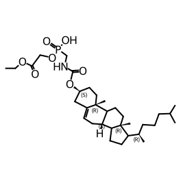 CCOC(=O)COP(=O)(O)CNC(=O)O[C@H]1CC[C@@]2(C)C(=CC[C@H]3C4CCC([C@H](C)CCCC(C)C)[C@@]4(C)CCC32)C1